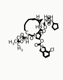 CC(C)(C)OC(=O)N[C@H]1CCCCC/C=C\[C@@H]2C[C@@]2(C(=O)NS(=O)(=O)NC2CCCC2)NC(=O)[C@@H]2C[C@@H](OC(=O)N3Cc4cccc(Cl)c4C3)CN2C1=O